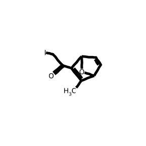 CC1=C(C(=O)CI)C2C=CC1O2